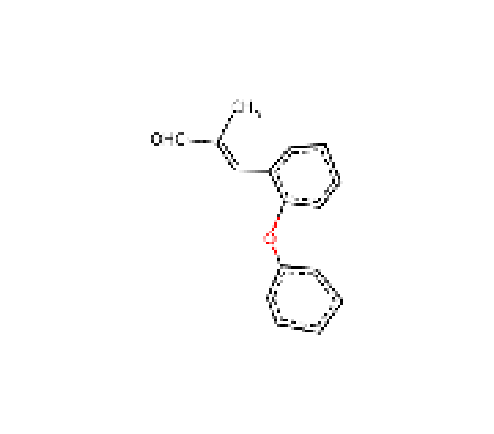 CC(C=O)=Cc1ccccc1Oc1ccccc1